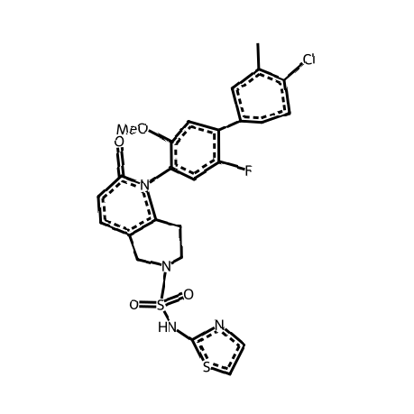 COc1cc(-c2ccc(Cl)c(C)c2)c(F)cc1-n1c2c(ccc1=O)CN(S(=O)(=O)Nc1nccs1)CC2